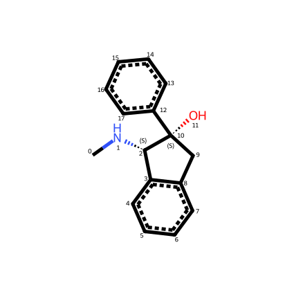 CN[C@H]1c2ccccc2C[C@]1(O)c1ccccc1